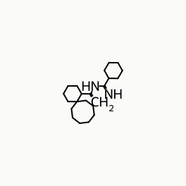 C=C(NC(=N)C1CCCCC1)C1CCCCC12CCCCCCC2